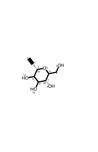 C#C[C@@H]1OC(CO)[C@H](O)C(O)C1O